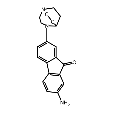 Nc1ccc2c(c1)C(=O)c1cc(N3CCN4CCC3CC4)ccc1-2